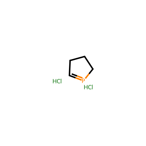 C1=PCCC1.Cl.Cl